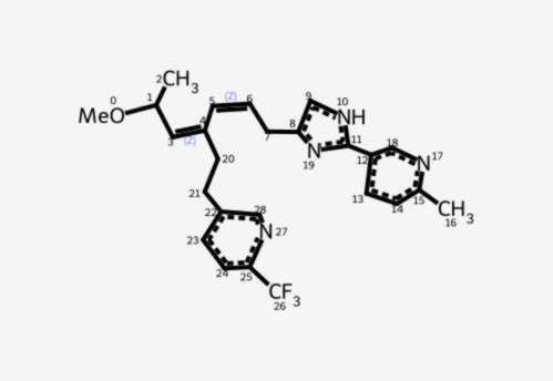 COC(C)/C=C(\C=C/Cc1c[nH]c(-c2ccc(C)nc2)n1)CCc1ccc(C(F)(F)F)nc1